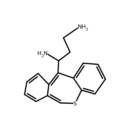 NCCC(N)C1=c2ccccc2=CSc2ccccc21